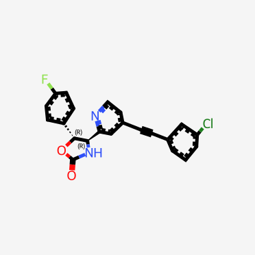 O=C1N[C@H](c2cc(C#Cc3cccc(Cl)c3)ccn2)[C@@H](c2ccc(F)cc2)O1